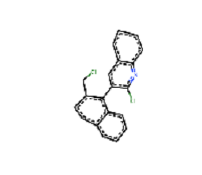 ClCc1ccc2ccccc2c1-c1cc2ccccc2nc1Cl